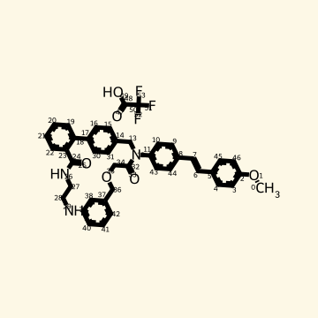 COc1ccc(/C=C/c2ccc(N(Cc3ccc(-c4ccccc4C(=O)NCCN)cc3)C(=O)COCc3ccccc3)cc2)cc1.O=C(O)C(F)(F)F